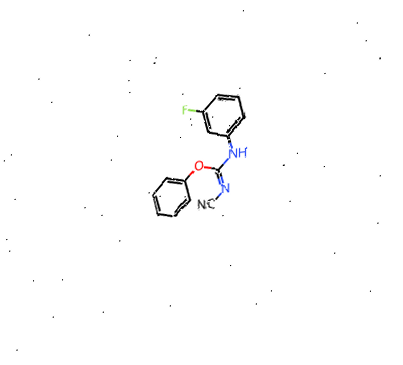 N#C/N=C(/Nc1cccc(F)c1)Oc1ccccc1